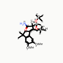 COc1cc2c(cc1OC)C(C)(C)CC2=C(CC(=O)O)C(C#N)(C(N)=O)[Si](C)(O[Si](C)(C)C)O[Si](C)(C)C